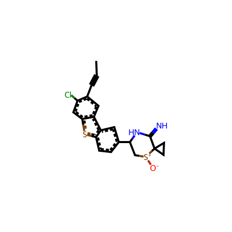 CC#Cc1cc2c(cc1Cl)sc1ccc(C3C[S+]([O-])C4(CC4)C(=N)N3)cc12